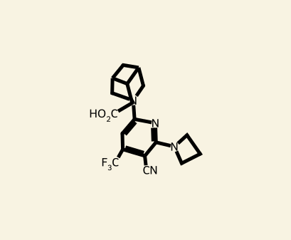 N#Cc1c(C(F)(F)F)cc(N2CC3CC(C2)C3CC(=O)O)nc1N1CCC1